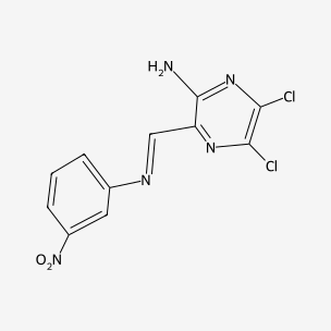 Nc1nc(Cl)c(Cl)nc1C=Nc1cccc([N+](=O)[O-])c1